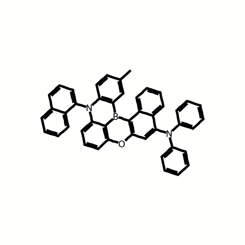 Cc1ccc2c(c1)B1c3c(cccc3N2c2cccc3ccccc23)Oc2cc(N(c3ccccc3)c3ccccc3)c3ccccc3c21